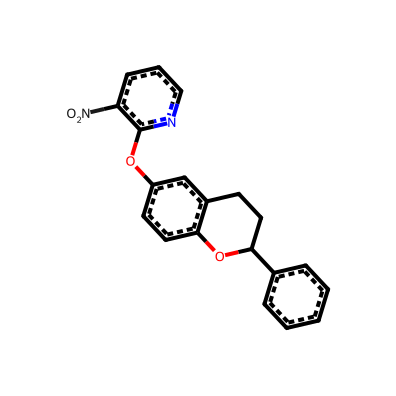 O=[N+]([O-])c1cccnc1Oc1ccc2c(c1)CCC(c1ccccc1)O2